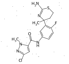 Cn1nc(Cl)cc1C(=O)Nc1ccc(F)c(C2(C)CCSC(N)=N2)c1